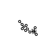 c1ccc(-c2ccc(N3c4ccccc4-c4cccc5c(-c6cccc(-c7nc(-c8ccccc8)nc(-c8ccccc8)n7)c6)ccc(c45)-c4ccccc43)cc2)cc1